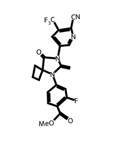 C=C1N(c2cnc(C#N)c(C(F)(F)F)c2)C(=O)C2(CCC2)N1c1ccc(C(=O)OC)c(F)c1